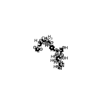 CC(C)[C@H](NC(=O)CCN1C(=O)C=CC1=O)C(=O)N[C@@H](C)C(=O)Nc1ccc(COC(=O)N2C[C@@H](O)C[C@@H]2C(=O)N[C@@H]2[C@@H](O)[C@H](O)[C@@H](Nc3ncnc4nc[nH]c34)O[C@H]2CO)cc1